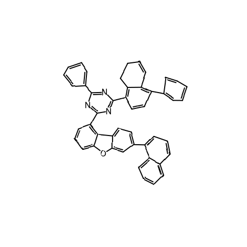 C1=Cc2c(-c3ccccc3)ccc(-c3nc(-c4ccccc4)nc(-c4cccc5oc6cc(-c7cccc8ccccc78)ccc6c45)n3)c2CC1